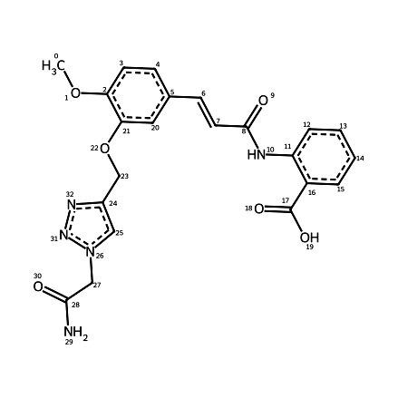 COc1ccc(/C=C/C(=O)Nc2ccccc2C(=O)O)cc1OCc1cn(CC(N)=O)nn1